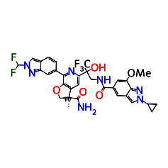 COc1cc(C(=O)NCC(O)(c2cc3c(c(-c4ccc5cn(C(F)F)nc5c4)n2)OC[C@]3(C)C(N)=O)C(F)(F)F)cc2cn(C3CC3)nc12